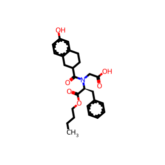 CCCCOC(=O)[C@H](Cc1ccccc1)N(CC(=O)O)C(=O)C1CCc2cc(O)ccc2C1